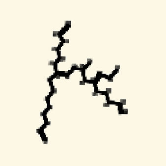 C=CCCCCCCC(=CCC(C)CC(=CCC)CCCC=C)CCCCC=C